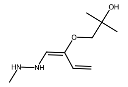 C=C/C(=C\NNC)OCC(C)(C)O